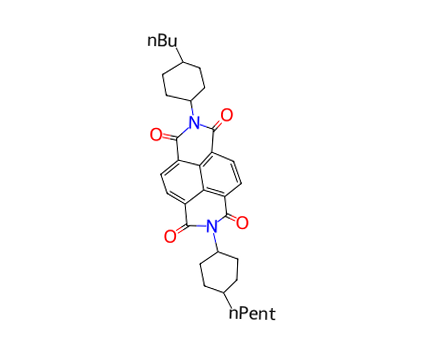 CCCCCC1CCC(N2C(=O)c3ccc4c5c(ccc(c35)C2=O)C(=O)N(C2CCC(CCCC)CC2)C4=O)CC1